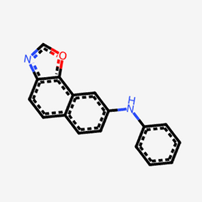 c1ccc(Nc2ccc3ccc4ncoc4c3c2)cc1